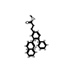 COC(=O)CCc1ccc(-c2ccccc2)c(-c2ccc3ccccc3c2)c1